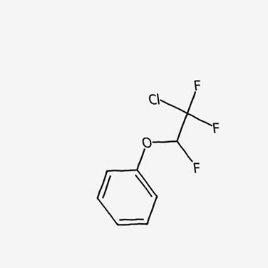 FC(Oc1ccccc1)C(F)(F)Cl